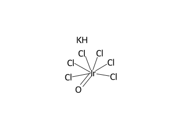 [KH].[O]=[Ir]([Cl])([Cl])([Cl])([Cl])([Cl])[Cl]